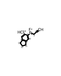 C#CCN(F)c1ccc2c(c1)CCC2.Cl